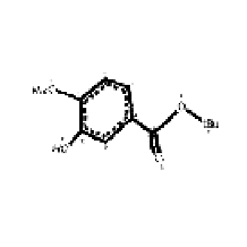 COc1ccc(C(=O)OC(C)(C)C)cc1O